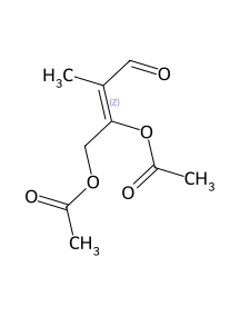 CC(=O)OC/C(OC(C)=O)=C(\C)C=O